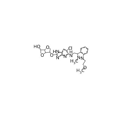 COCCN1c2ccccc2C(CNc2nc3nc(O[C@@H]4COC5C4OC[C@H]5O)[nH]c3cc2Cl)N1C